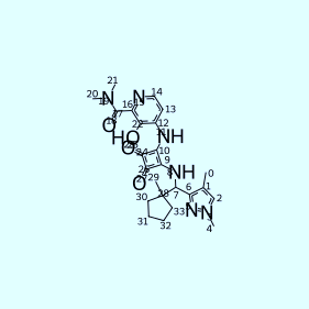 Cc1cn(C)nc1C(Nc1c(Nc2ccnc(C(=O)N(C)C)c2O)c(=O)c1=O)C1(C)CCCC1